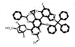 CCSc1nc(N2C[C@@H]3C[C@H]2CN3C(=O)O)c2c(OC(C)c3ccccc3)c(C3CC3)c(-c3c(C)c(F)cc4nn(C(c5ccccc5)(c5ccccc5)c5ccccc5)cc34)c(C(C)(C)C)c2n1